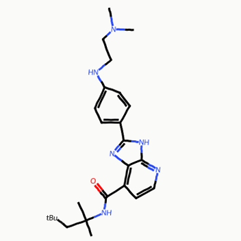 CN(C)CCNc1ccc(-c2nc3c(C(=O)NC(C)(C)CC(C)(C)C)ccnc3[nH]2)cc1